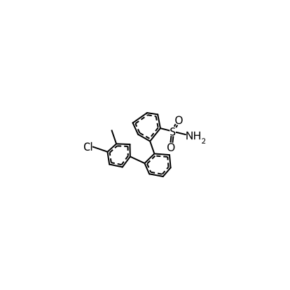 Cc1cc(-c2ccccc2-c2ccccc2S(N)(=O)=O)ccc1Cl